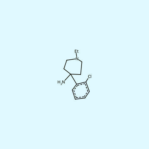 CCN1CCC(N)(c2ccccc2Cl)CC1